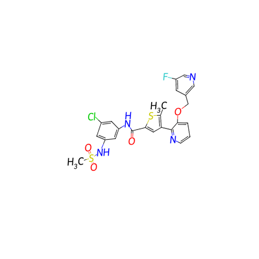 Cc1sc(C(=O)Nc2cc(Cl)cc(NS(C)(=O)=O)c2)cc1-c1ncccc1OCc1cncc(F)c1